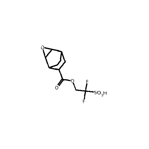 O=C(OCC(F)(F)S(=O)(=O)O)C1CC2CCC1C1OC21